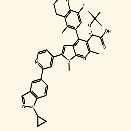 Cc1nc2c(cc(-c3ccnc(-c4ccc5c(cnn5C5CC5)c4)c3)n2C)c(-c2cc(F)c3c(c2C)CCCO3)c1[C@H](OC(C)(C)C)C(=O)O